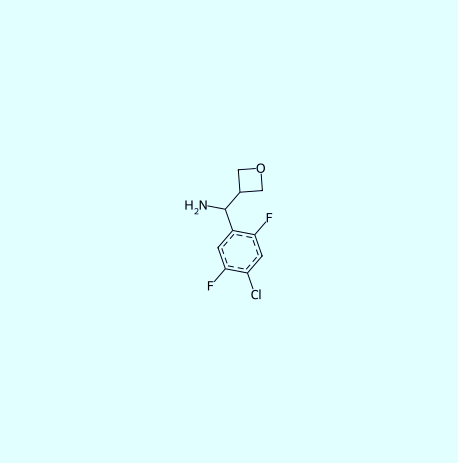 NC(c1cc(F)c(Cl)cc1F)C1COC1